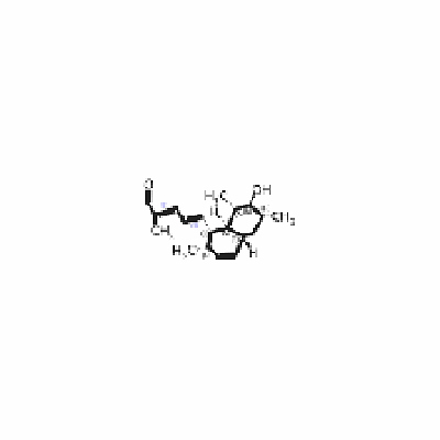 C/C(C=O)=C\C=C\[C@@H]1[C@H]2[C@H](C)[C@@H](O)[C@H](C)C[C@@H]2C=C[C@@H]1C